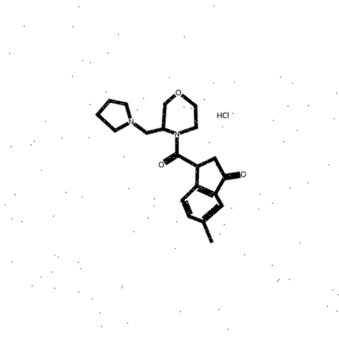 Cc1ccc2c(c1)C(=O)CC2C(=O)N1CCOCC1CN1CCCC1.Cl